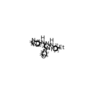 CCc1ccnc(Nc2nc(Nc3ccn4ccnc4c3)cc(N3CCOCC3)n2)c1